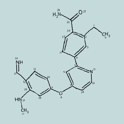 CCc1cc(-c2cc(Oc3ccc(C=N)c(NC)c3)ccn2)ccc1C(N)=O